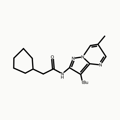 Cc1cnc2c(C(C)(C)C)c(NC(=O)CC3CCCCC3)nn2c1